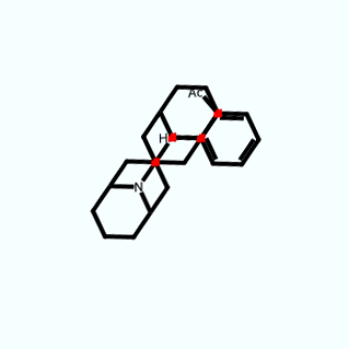 CC(=O)c1ccccc1NC1CC2CCCC(C1)N2C1CC2CCCC(C2)C1